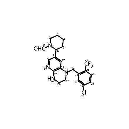 O=CN1CCCCC1c1cnc2c(c1)N(Cc1cc(Cl)ccc1C(F)(F)F)CCN2